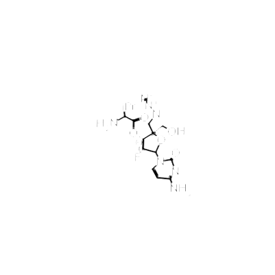 CC(C)C(N)C(=O)O[C@H]1[C@@H](F)C(n2ccc(N)nc2=O)O[C@@]1(CO)CN=[N+]=[N-]